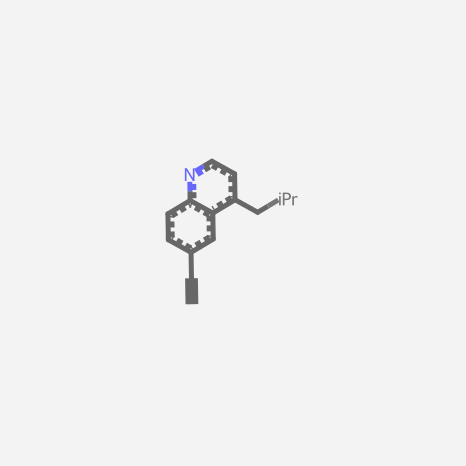 C#Cc1ccc2nccc(CC(C)C)c2c1